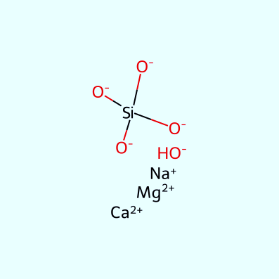 [Ca+2].[Mg+2].[Na+].[O-][Si]([O-])([O-])[O-].[OH-]